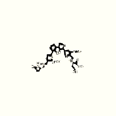 COC(=O)[C@@H](CCO)NCc1ncc(-c2nccc(-c3cccc(-c4ccc(CNC[C@@H]5CCC(=O)N5)c(OC)n4)c3Cl)c2Cl)cc1OC